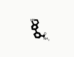 NC(=O)c1cccc(-c2ccc3c(c2)CCNC3)c1